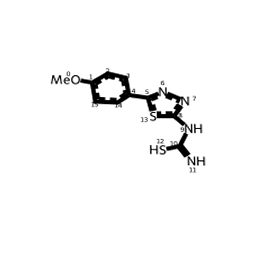 COc1ccc(-c2nnc(NC(=N)S)s2)cc1